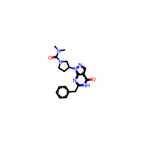 CN(C)C(=O)N1CCC(n2ncc3c(=O)[nH]c(Cc4ccccc4)nc32)C1